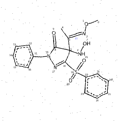 CO/N=C(\C)C1(NO)C(=O)N(c2ccccc2)N=C1S(=O)(=O)c1ccccc1